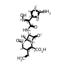 C=CC1=C(C(=O)O)N2C(=O)[C@@H](NC(=O)C(=NO)c3csc(N)n3)[C@H]2[S+]([O-])C1